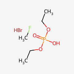 Br.CCOP(=O)(O)OCC.CF